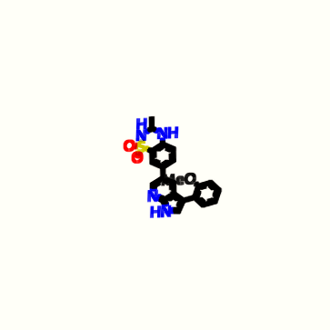 COc1ccccc1-c1c[nH]c2ncc(-c3ccc4c(c3)S(=O)(=O)NC(C)N4)cc12